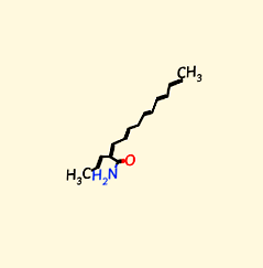 CC=CC=CC=CCC=CC=C(C=CC)C(N)=O